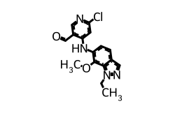 CCn1ncc2ccc(Nc3cc(Cl)ncc3C=O)c(OC)c21